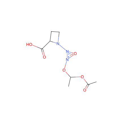 CC(=O)OC(C)On1on1N1CCC1C(=O)O